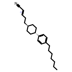 CCCCCCCc1ccc([C@H]2CC[C@H](CC/C=C/C#N)CC2)cc1